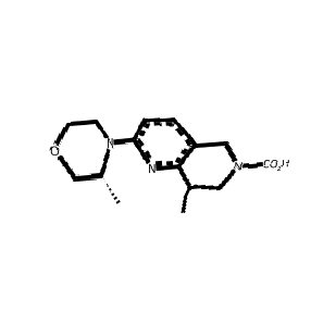 CC1CN(C(=O)O)Cc2ccc(N3CCOC[C@H]3C)nc21